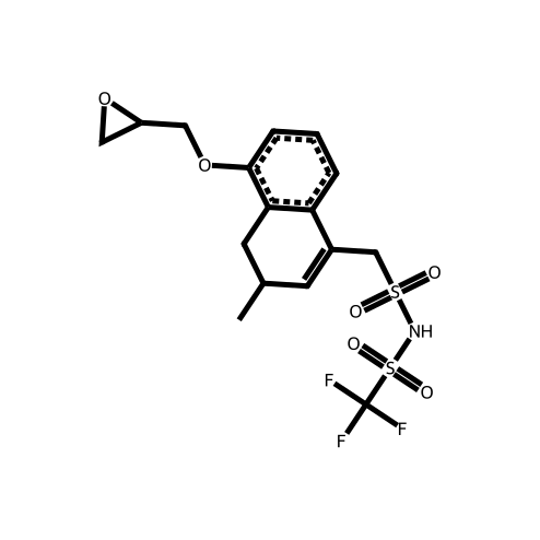 CC1C=C(CS(=O)(=O)NS(=O)(=O)C(F)(F)F)c2cccc(OCC3CO3)c2C1